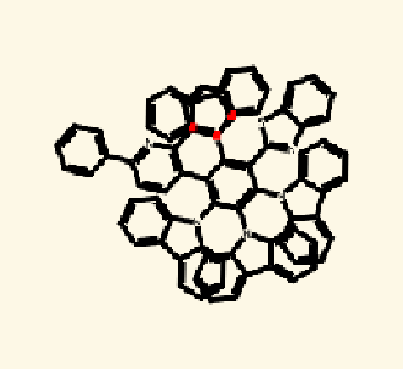 c1ccc(-c2ccc(-c3c(-n4c5ccccc5c5ccccc54)c(-c4nc5ccccc5s4)c(-n4c5ccccc5c5ccccc54)c(-n4c5ccccc5c5ccccc54)c3-n3c4ccccc4c4ccccc43)c(-c3ccccc3)n2)cc1